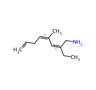 C=CC/C=C(C)\C=C(\CC)CN